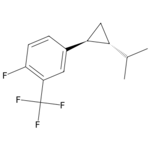 CC(C)[C@H]1C[C@@H]1c1ccc(F)c(C(F)(F)F)c1